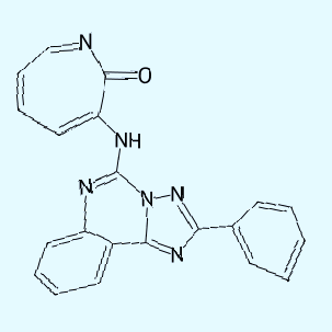 O=c1nccccc1Nc1nc2ccccc2c2nc(-c3ccccc3)nn12